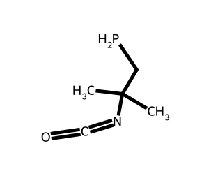 CC(C)(CP)N=C=O